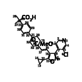 COc1cncc(Cl)c1-c1noc(C2CC2)c1C=CC12CCC(c3ccc(C(C)(C)C(=O)O)cc3)(CC1)OC2